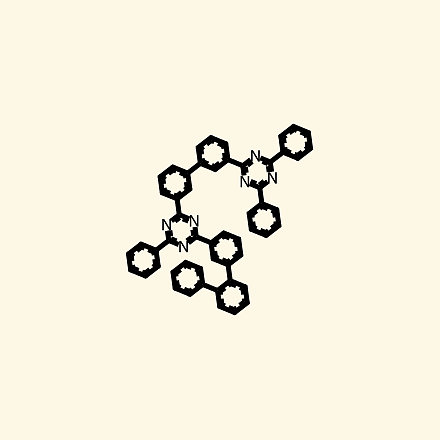 c1ccc(-c2nc(-c3ccccc3)nc(-c3cccc(-c4cccc(-c5nc(-c6ccccc6)nc(-c6cccc(-c7ccccc7-c7ccccc7)c6)n5)c4)c3)n2)cc1